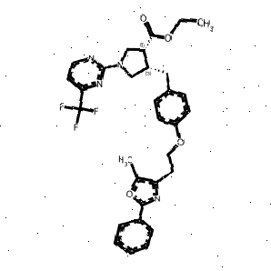 CCOC(=O)[C@H]1CN(c2nccc(C(F)(F)F)n2)C[C@H]1Cc1ccc(OCCc2nc(-c3ccccc3)oc2C)cc1